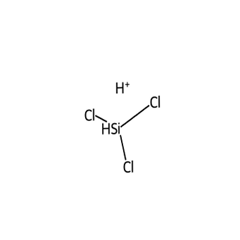 Cl[SiH](Cl)Cl.[H+]